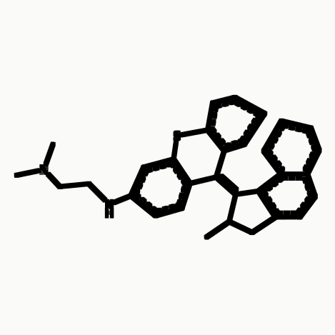 CC1Cc2ccc3ccccc3c2C1=C1c2ccccc2Sc2cc(NCCN(C)C)ccc21